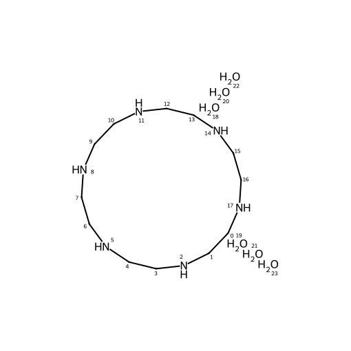 C1CNCCNCCNCCNCCNCCN1.O.O.O.O.O.O